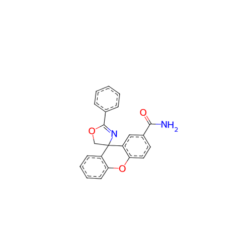 NC(=O)c1ccc2c(c1)C1(COC(c3ccccc3)=N1)c1ccccc1O2